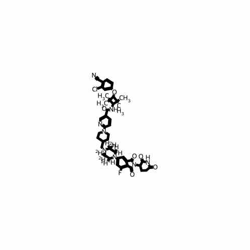 [2H]C1([2H])N(CC2CCN(c3ccc(C(=O)NC4C(C)(C)C(Oc5ccc(C#N)c(Cl)c5)C4(C)C)cn3)CC2)C([2H])([2H])C([2H])([2H])N(c2cc(F)c3c(c2)C(=O)N(C2CCC(=O)NC2=O)C3=O)C1([2H])[2H]